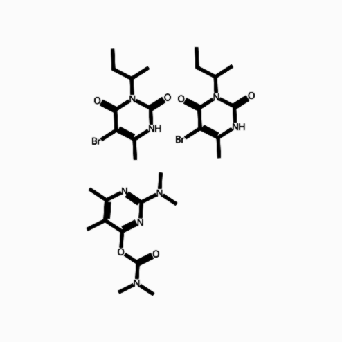 CCC(C)n1c(=O)[nH]c(C)c(Br)c1=O.CCC(C)n1c(=O)[nH]c(C)c(Br)c1=O.Cc1nc(N(C)C)nc(OC(=O)N(C)C)c1C